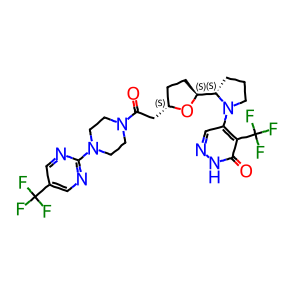 O=C(C[C@@H]1CC[C@@H]([C@@H]2CCCN2c2cn[nH]c(=O)c2C(F)(F)F)O1)N1CCN(c2ncc(C(F)(F)F)cn2)CC1